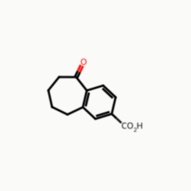 O=C(O)c1ccc2c(c1)CCCCC2=O